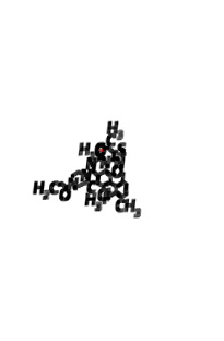 C=CC(=O)N1CCN(c2nc(=O)n(-c3ncsc3C(C)C)c3c4c(c(Cl)cc23)-c2c(ccc(C)c2F)CO4)[C@@H](C)C1